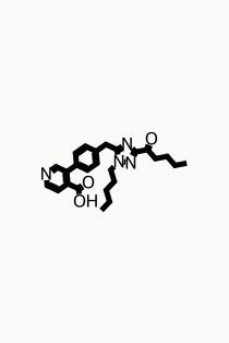 CCCCCn1nc(C(=O)CCCC)nc1Cc1ccc(-c2cnccc2C(=O)O)cc1